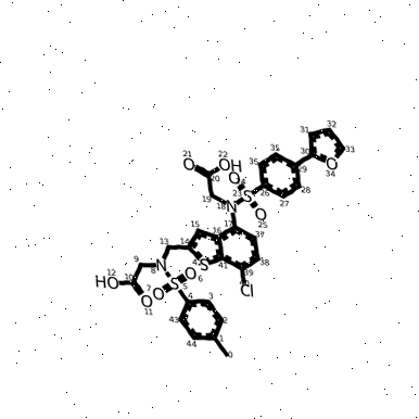 Cc1ccc(S(=O)(=O)N(CC(=O)O)Cc2cc3c(N(CC(=O)O)S(=O)(=O)c4ccc(-c5ccco5)cc4)ccc(Cl)c3s2)cc1